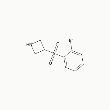 O=S(=O)(c1ccccc1Br)C1CNC1